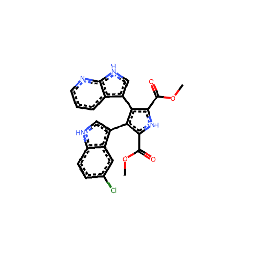 COC(=O)c1[nH]c(C(=O)OC)c(-c2c[nH]c3ncccc23)c1-c1c[nH]c2ccc(Cl)cc12